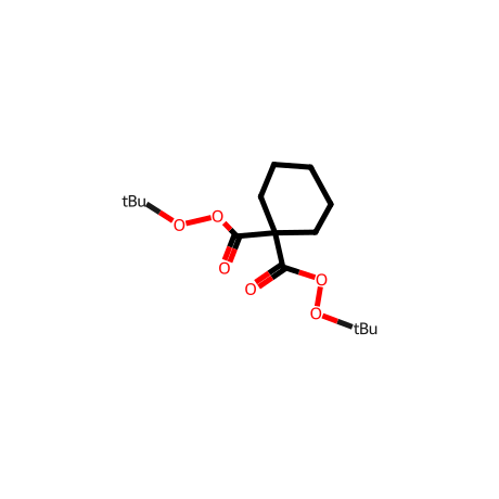 CC(C)(C)OOC(=O)C1(C(=O)OOC(C)(C)C)CCCCC1